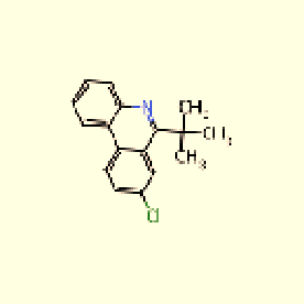 CC(C)(C)c1nc2ccccc2c2ccc(Cl)cc12